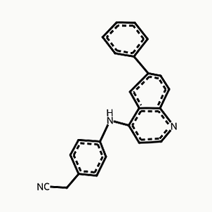 N#CCc1ccc(Nc2ccnc3ccc(-c4ccccc4)cc23)cc1